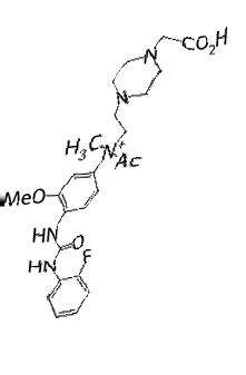 COc1cc([N+](C)(CCN2CCN(CC(=O)O)CC2)C(C)=O)ccc1NC(=O)Nc1ccccc1F